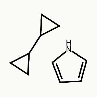 C1CC1C1CC1.c1cc[nH]c1